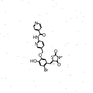 CN1C(=O)S/C(=C\c2cc(OCc3ccc(NC(=O)c4ccncc4)nc3)c(O)cc2Br)C1=O